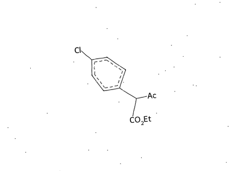 CCOC(=O)C(C(C)=O)c1ccc(Cl)cc1